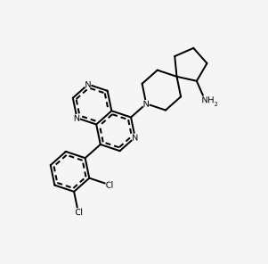 NC1CCCC12CCN(c1ncc(-c3cccc(Cl)c3Cl)c3ncncc13)CC2